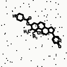 CC1C(OC(=O)N2CCNCC2)CC2CCC3C4CCC(c5ccc(=O)oc5)C4CCC3C2C1(C)C